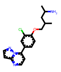 CC(N)CC(C)COc1ccc(-c2ccnc3ccnn23)cc1Cl